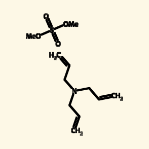 C=CCN(CC=C)CC=C.COS(=O)(=O)OC